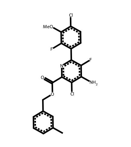 COc1c(Cl)ccc(-c2nc(C(=O)OCc3cccc(C)c3)c(Cl)c(N)c2F)c1F